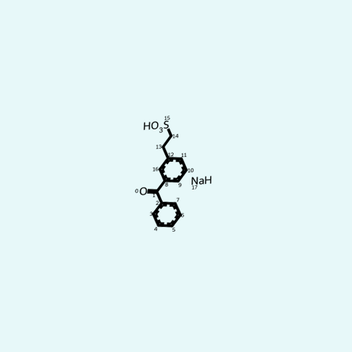 O=C(c1ccccc1)c1cccc(CCS(=O)(=O)O)c1.[NaH]